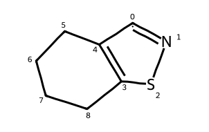 [c]1nsc2c1CCCC2